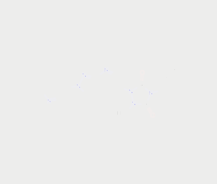 Cn1c(=O)n(CC2CC2)c(=O)n1-c1cnc2nn(-c3cccnc3)cc2c1